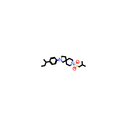 CCC(C)c1ccc(N2CCC3(CCN(S(=O)(=O)CC(C)C)CC3)C2)cc1